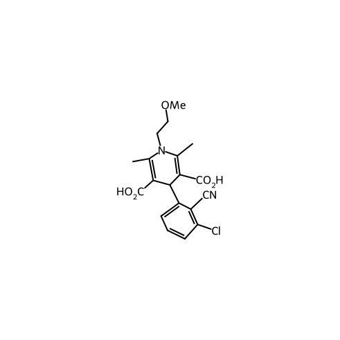 COCCN1C(C)=C(C(=O)O)C(c2cccc(Cl)c2C#N)C(C(=O)O)=C1C